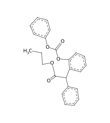 CCCOC(=O)C(c1ccccc1)c1ccccc1OC(=O)Oc1ccccc1